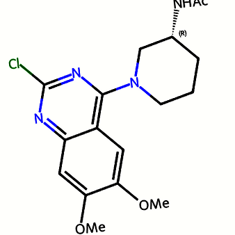 COc1cc2nc(Cl)nc(N3CCC[C@@H](NC(C)=O)C3)c2cc1OC